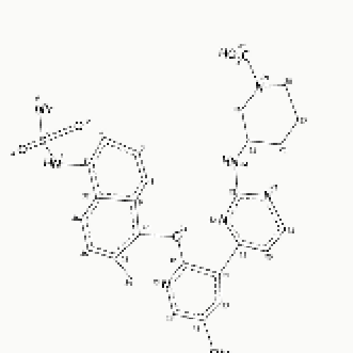 CCCS(=O)(=O)Nc1cccc2c(Oc3ncc(OC)cc3-c3ccnc(NC4CCCN(C(=O)O)C4)n3)c(C)ccc12